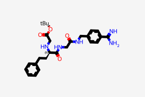 CC(C)(C)OC(=O)CN[C@H](CCc1ccccc1)C(=O)NCC(=O)NCc1ccc(C(=N)N)cc1